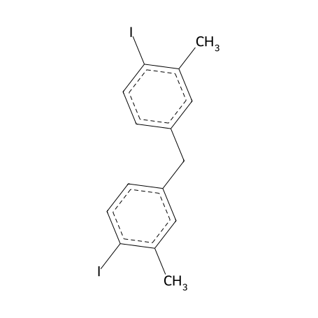 Cc1cc(Cc2ccc(I)c(C)c2)ccc1I